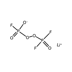 O=P([O-])(F)OOP(=O)(F)F.[Li+]